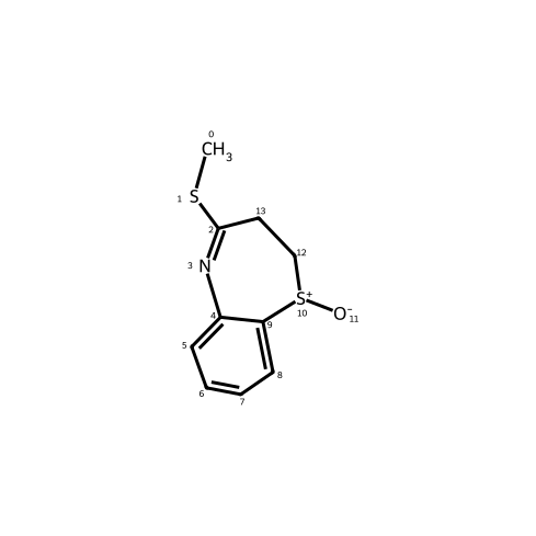 CSC1=Nc2ccccc2[S+]([O-])CC1